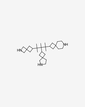 CC(C)(C1CC2(CCNCC2)C1)C(C)(C1CC2(CCNC2)C1)C(C)(C)C1CC2(CNC2)C1